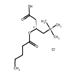 CCCCC(=O)O[C@H](CC(=O)O)C[N+](C)(C)C.[Cl-]